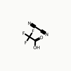 N#CC#N.O=C(O)C(F)(F)F